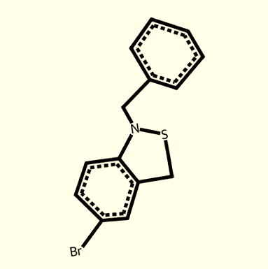 Brc1ccc2c(c1)CSN2Cc1ccccc1